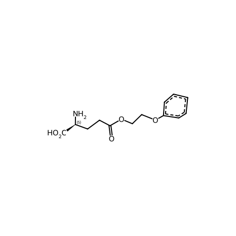 N[C@@H](CCC(=O)OCCOc1ccccc1)C(=O)O